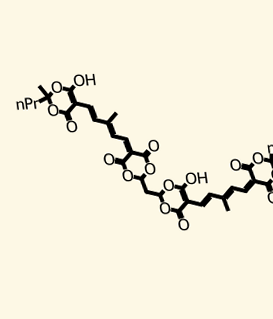 CCCC1(C)OC(=O)C(=C/C=C(C)/C=C/C2=C(O)OC(CC3OC(=O)C(=C/C=C(C)/C=C/C4=C(O)OC(C)(CCC)OC4=O)C(=O)O3)OC2=O)C(=O)O1